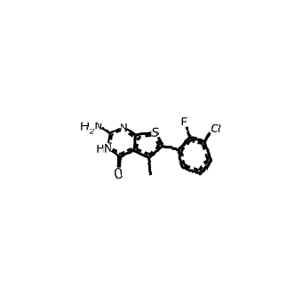 Cc1c(-c2cccc(Cl)c2F)sc2nc(N)[nH]c(=O)c12